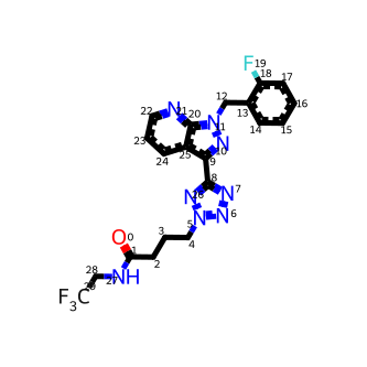 O=C(CCCn1nnc(-c2nn(Cc3ccccc3F)c3ncccc23)n1)NCC(F)(F)F